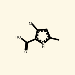 Cc1cc(Cl)c(C(=O)O)[nH]1